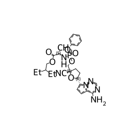 CCC(CC)COC(=O)[C@H](C)NP(=O)(OC[C@]1(C#N)CC[C@H](c2ccc3c(N)ncnn23)O1)Oc1ccccc1